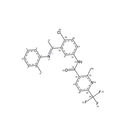 C/C(=N\c1ccccc1C)c1cc(NC(=O)c2ccc(C(F)(F)F)nc2C)ccc1Cl